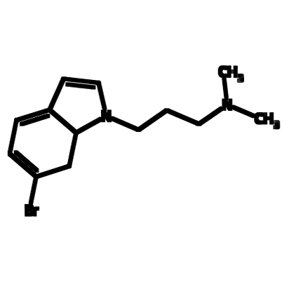 CN(C)CCCN1C=CC2=CC=C(Br)CC21